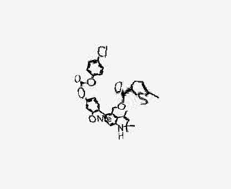 COc1cc(OC(=O)Oc2ccc(Cl)cc2)ccc1-c1ccc2c(c1COC(=O)C1CC=C(C)S1)C(C)=CC(C)(C)N2